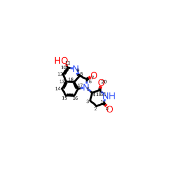 O=C1CCC(N2C(=O)c3nc(O)cc4cccc2c34)C(=O)N1